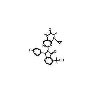 C[C@@H]1C(=O)N(C)c2cnc(N3C(=O)c4c(cccc4C(C)(C)O)C3c3ccc(F)cc3)nc2N1C1CC1